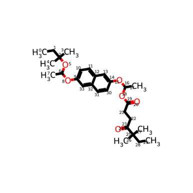 CCC(C)(C)OC(C)Oc1ccc2cc(OC(C)OC(=O)CCC(=O)C(C)(C)CC)ccc2c1